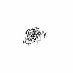 Cc1cc2ccnn2c(C(=O)NC(C)C)c1NC(=O)c1cc(OCC(F)(F)F)nn1-c1ncccc1Cl